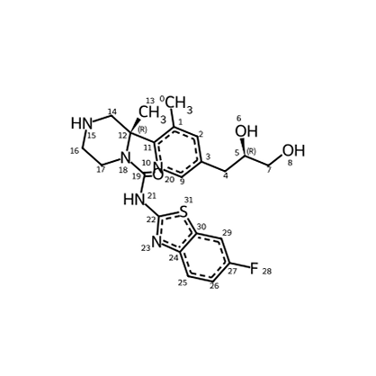 Cc1cc(C[C@@H](O)CO)cnc1[C@@]1(C)CNCCN1C(=O)Nc1nc2ccc(F)cc2s1